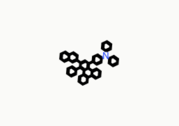 C1=Cc2c(c3ccccc3c3c(-c4ccc(N(c5ccccc5)c5ccccc5)cc4)cc(-c4ccc5ccccc5c4)c(-c4ccccc4)c23)CC1